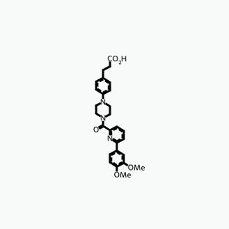 COc1ccc(-c2cccc(C(=O)N3CCN(c4ccc(CCC(=O)O)cc4)CC3)n2)cc1OC